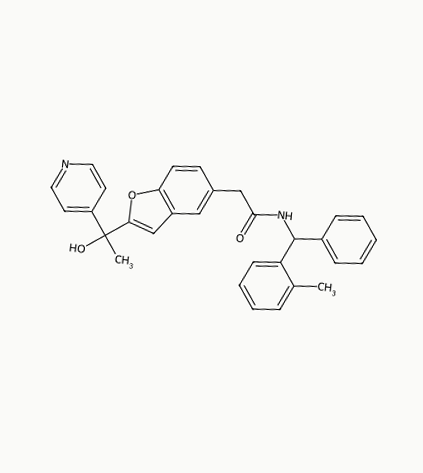 Cc1ccccc1C(NC(=O)Cc1ccc2oc(C(C)(O)c3ccncc3)cc2c1)c1ccccc1